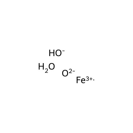 O.[Fe+3].[O-2].[OH-]